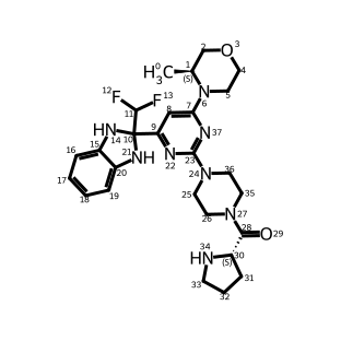 C[C@H]1COCCN1c1cc(C2(C(F)F)Nc3ccccc3N2)nc(N2CCN(C(=O)[C@@H]3CCCN3)CC2)n1